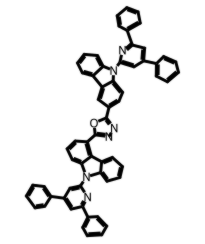 c1ccc(-c2cc(-c3ccccc3)nc(-n3c4ccccc4c4cc(-c5nnc(-c6cccc7c6c6ccccc6n7-c6cc(-c7ccccc7)cc(-c7ccccc7)n6)o5)ccc43)c2)cc1